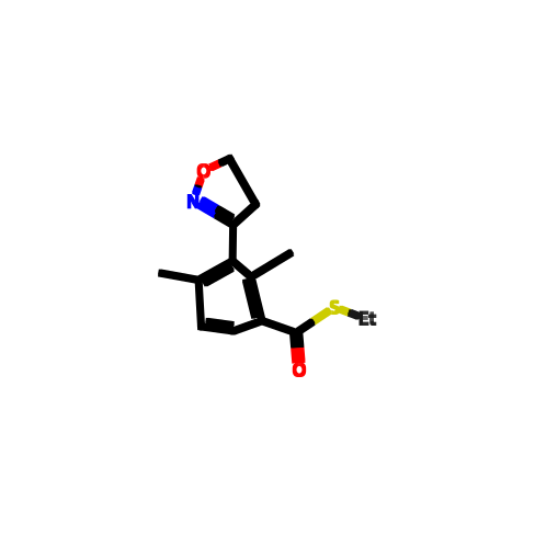 CCSC(=O)c1ccc(C)c(C2=NOCC2)c1C